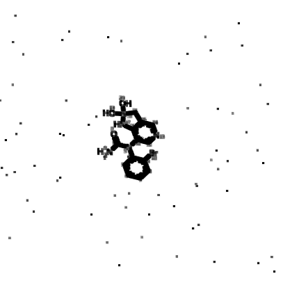 NC(=O)N(c1ccccc1Br)c1cncc2c1NS(O)(O)C2